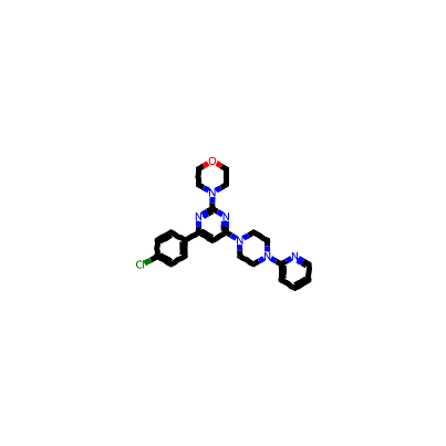 Clc1ccc(-c2cc(N3CCN(c4ccccn4)CC3)nc(N3CCOCC3)n2)cc1